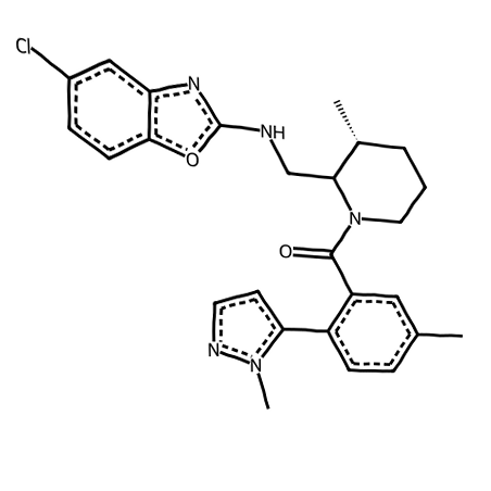 Cc1ccc(-c2ccnn2C)c(C(=O)N2CCC[C@@H](C)C2CNc2nc3cc(Cl)ccc3o2)c1